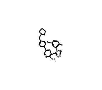 Nc1ncc(-c2ccc(CN3CCCC3)cc2)cc1-c1nnnn1-c1cc(F)ccc1F